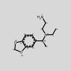 CCN(CCN)[C@@H](C)c1ccc2c(c1)OCO2